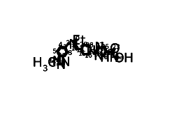 CCN(Cc1ccc2c(c1)nnn2C)CC1CCN(c2ncc(C(=O)NO)cn2)CC1